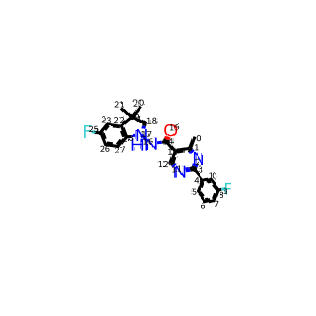 Cc1nc(-c2cccc(F)c2)ncc1C(=O)NN1CC(C)(C)c2cc(F)ccc21